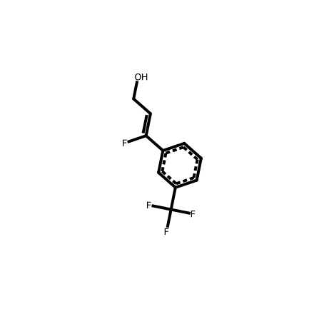 OCC=C(F)c1cccc(C(F)(F)F)c1